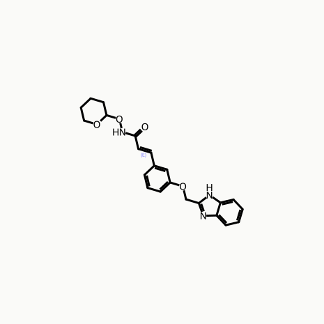 O=C(/C=C/c1cccc(OCc2nc3ccccc3[nH]2)c1)NOC1CCCCO1